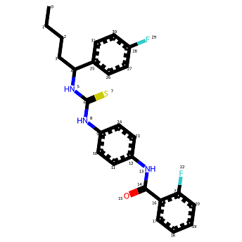 CCCCC(NC(=S)Nc1ccc(NC(=O)c2ccccc2F)cc1)c1ccc(F)cc1